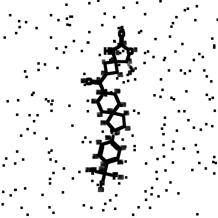 C[C@H]1OC(=O)NC12CC(C(=O)N1CCC3(CC[C@H](c4ccc(C(F)(F)F)cc4)C3)CC1)C2